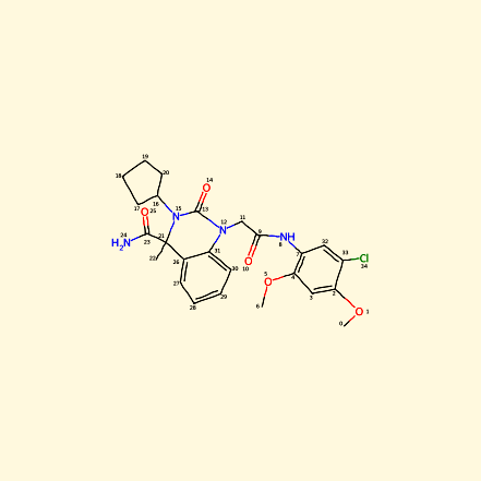 COc1cc(OC)c(NC(=O)CN2C(=O)N(C3CCCC3)C(C)(C(N)=O)c3ccccc32)cc1Cl